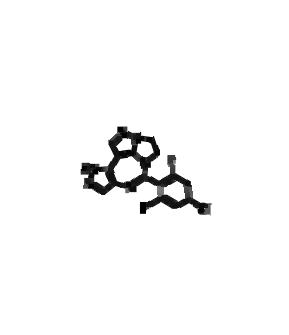 Fc1cc(Cl)cc(F)c1C1=Nc2cn[nH]c2-c2cnn3c2N1CC3